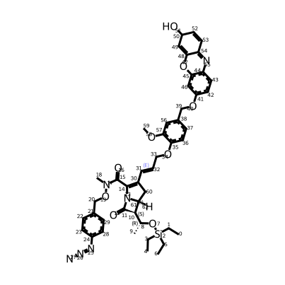 CC[Si](CC)(CC)O[C@H](C)[C@H]1C(=O)N2C(C(=O)N(C)OCc3ccc(N=[N+]=[N-])cc3)=C(/C=C/COc3ccc(COc4ccc5c(c4)OC4=CC(O)C=CC4=N5)cc3OC)C[C@H]12